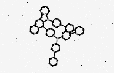 c1ccc(-c2ccc(N(c3ccc(-c4ccccc4)cc3)c3ccc(-c4c5ccccc5cc5c6ccccc6n(-c6ccc(-c7ccccc7)cc6)c45)cc3)cc2)cc1